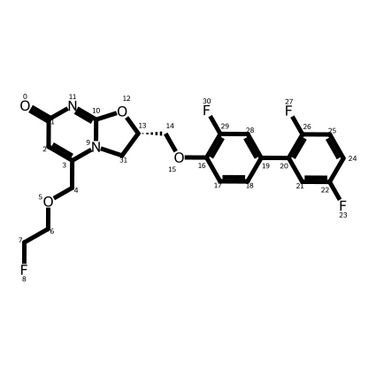 O=c1cc(COCCF)n2c(n1)O[C@H](COc1ccc(-c3cc(F)ccc3F)cc1F)C2